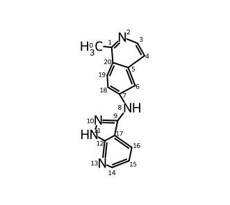 Cc1nccc2cc(Nc3n[nH]c4ncccc34)ccc12